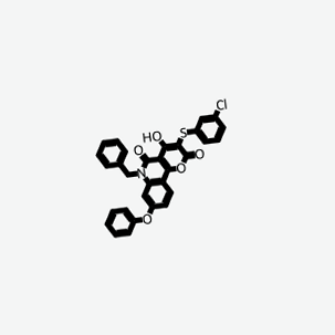 O=c1oc2c(c(O)c1Sc1cccc(Cl)c1)c(=O)n(Cc1ccccc1)c1cc(Oc3ccccc3)ccc21